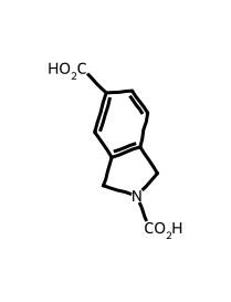 O=C(O)c1ccc2c(c1)CN(C(=O)O)C2